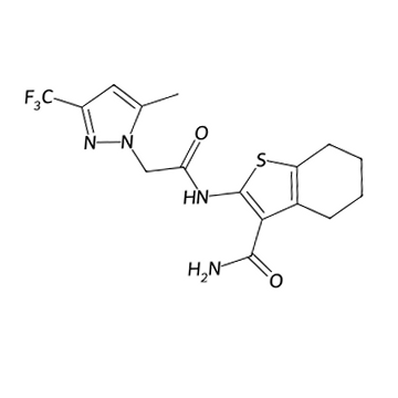 Cc1cc(C(F)(F)F)nn1CC(=O)Nc1sc2c(c1C(N)=O)CCCC2